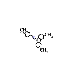 COc1ccc(/C=C/n2c3c(c4cc(C)ccc42)CN(C)CC3)cc1